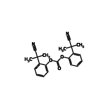 CC(C)(C#N)c1ccccc1OC(=O)Oc1ccccc1C(C)(C)C#N